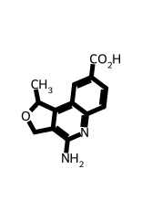 CC1OCc2c(N)nc3ccc(C(=O)O)cc3c21